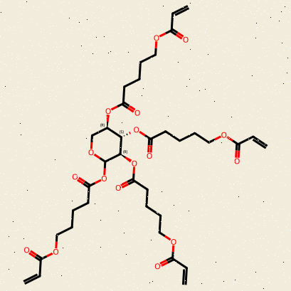 C=CC(=O)OCCCCC(=O)OC1OC[C@@H](OC(=O)CCCCOC(=O)C=C)[C@H](OC(=O)CCCCOC(=O)C=C)[C@H]1OC(=O)CCCCOC(=O)C=C